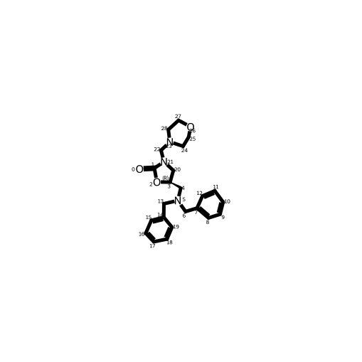 O=C1O[C@H](CN(Cc2ccccc2)Cc2ccccc2)CN1CN1CCOCC1